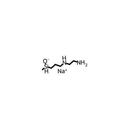 C[SiH]([O-])CCCNCCN.[Na+]